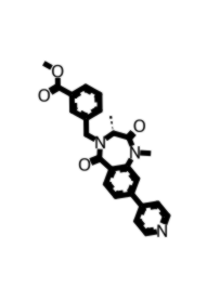 COC(=O)c1cccc(CN2C(=O)c3ccc(-c4ccncc4)cc3N(C)C(=O)[C@H]2C)c1